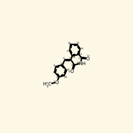 COc1ccc(/C=C2\C(=O)NC(=O)c3ccccc32)cc1